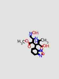 COC(=O)C1=C(/C=N\O)NC(C)=C(C(=O)O)C1c1cccc2nonc12